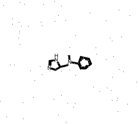 CN(CC1CN=CN1)c1ccccc1